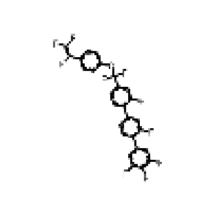 FC(F)=C(F)c1ccc(OC(F)(F)c2ccc(-c3ccc(-c4cc(F)c(F)c(F)c4)c(F)c3)c(F)c2)cc1